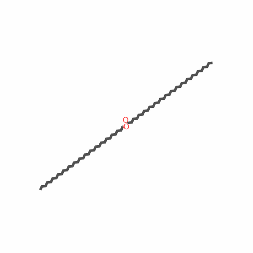 CCCCCCCCCCCCCCCCCCCCCCCCCCCCCCCCOC(=O)CCCCCCCCCCCCCCCCCCCCCCCCCCCCCCC